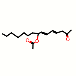 CCCCCCCC(/C=C/C=C/CC(C)=O)OC(C)=O